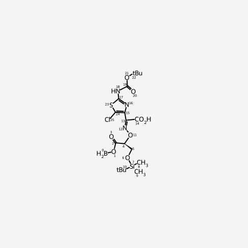 BOC(=O)[C@H](CO[Si](C)(C)C(C)(C)C)O/N=C(\C(=O)O)c1nc(NC(=O)OC(C)(C)C)sc1Cl